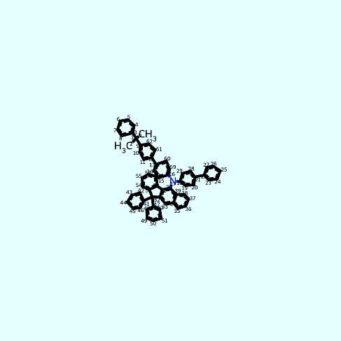 CC(C)(c1ccccc1)c1ccc(-c2ccc(N(c3ccc(-c4ccccc4)cc3)c3c4c(cc5ccccc35)C(c3ccccc3)(c3ccccc3)c3ccccc3-4)cc2)cc1